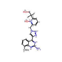 COc1cccc2c(-c3cn(Cc4cccc(C(C)(C)CO)[n+]4O)nn3)nc(N)nc12